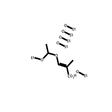 [CH2]C(OC=C(C)C(=O)O)OCC.[CH2]C[O].[CH2]C[O].[CH2]C[O].[CH2]C[O].[CH2]C[O]